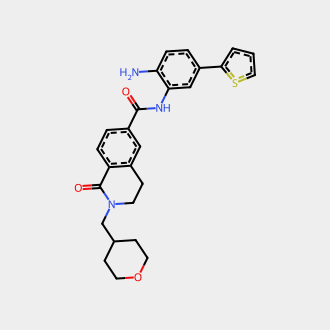 Nc1ccc(-c2cccs2)cc1NC(=O)c1ccc2c(c1)CCN(CC1CCOCC1)C2=O